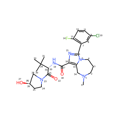 CN1CCCn2c(-c3cc(Cl)ccc3F)nc(C(=O)N[C@H](C(=O)N3CC[C@@H](O)C3)C(C)(C)C)c2C1